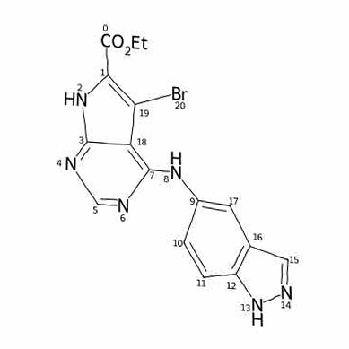 CCOC(=O)c1[nH]c2ncnc(Nc3ccc4[nH]ncc4c3)c2c1Br